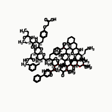 CCC(=O)N[C@@H](CC)C(=O)N[C@@H](Cc1ccc(OCC(=O)O)cc1)C(=O)N[C@@H](CC(=O)O)C(=O)N[C@@H](Cc1cccc(C)c1)C(=O)N[C@@H](Cc1ccc(C=O)cc1)C(=O)N[C@@H](Cc1ccc(-c2ccccc2)cc1)C(=O)N[C@@H](CCC(N)=O)C(=O)N(C)[C@@H](C)C(=O)N[C@H](CC(C)C)C(=O)N[C@@H](CCN)C(=O)NC(CC1CCCCC1)C(=O)NC(C(=O)N[C@@H](CCCN)C(=O)N[C@@H](CC)C(=O)N[C@@H](CCN)C(N)=O)C(C)C